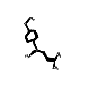 COc1ccc(N(C)CC=C(C)C)cc1